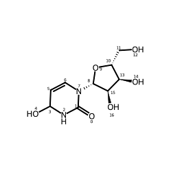 O=C1NC(O)C=CN1[C@@H]1O[C@H](CO)[C@@H](O)[C@H]1O